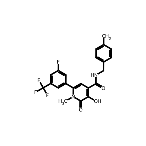 Cc1ccc(CNC(=O)c2cc(-c3cc(F)cc(C(F)(F)F)c3)n(C)c(=O)c2O)cc1